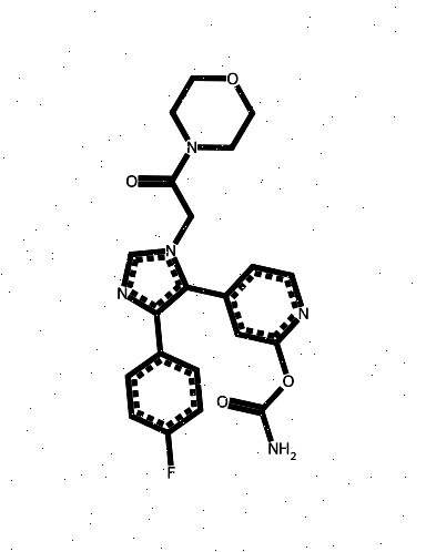 NC(=O)Oc1cc(-c2c(-c3ccc(F)cc3)ncn2CC(=O)N2CCOCC2)ccn1